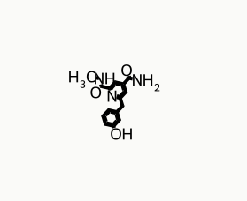 CNC(=O)c1cc(C(N)=O)cc(Cc2cccc(O)c2)n1